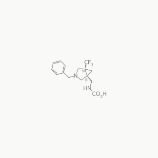 O=C(O)NC[C@@]12CN(Cc3ccccc3)C[C@]1(C(F)(F)F)C2